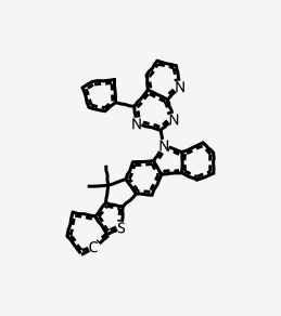 CC1(C)c2cc3c(cc2-c2sc4ccccc4c21)c1ccccc1n3-c1nc(-c2ccccc2)c2cccnc2n1